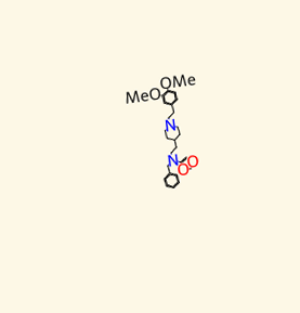 COc1ccc(CCN2CCC(CCN(Cc3ccccc3)C3=COCO3)CC2)cc1OC